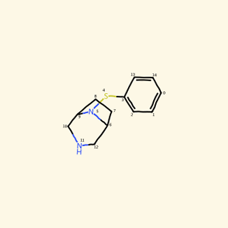 c1ccc(SN2C3CCC2CNC3)cc1